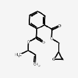 C=CC(C)OC(=O)c1ccccc1C(=O)OCC1CO1